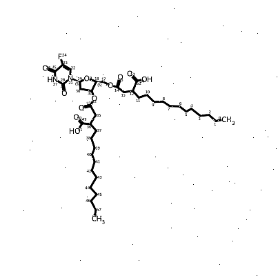 CCCCCCCCCCCCC(CC(=O)OC[C@@H]1O[C@H](n2cc(F)c(=O)[nH]c2=O)CC1OC(=O)CC(CCCCCCCCCCCC)C(=O)O)C(=O)O